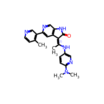 C/C(Nc1ccc(N(C)C)nc1)=C1/C(=O)Nc2cnc(-c3cnccc3C)cc21